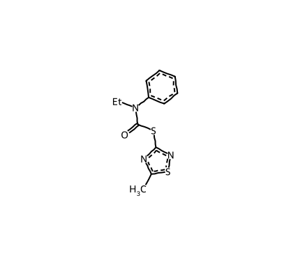 CCN(C(=O)Sc1nsc(C)n1)c1ccccc1